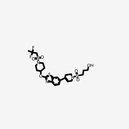 CC(F)(F)CS(=O)(=O)N1CCC(Oc2nc3ccc(C4=CCN(S(=O)(=O)CCCO)CC4)cc3s2)CC1